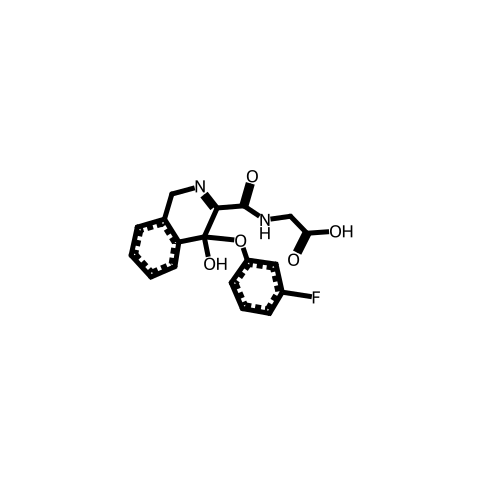 O=C(O)CNC(=O)C1=NCc2ccccc2C1(O)Oc1cccc(F)c1